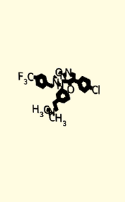 CN(C)CCc1ccc(OC2=C(c3ccc(Cl)cc3)C=NN3OCN(Cc4ccc(C(F)(F)F)cc4)N=C23)cc1